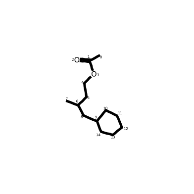 CC(=O)OCCC(C)CC1CCCCC1